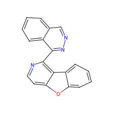 c1ccc2c(-c3nccc4oc5ccccc5c34)nncc2c1